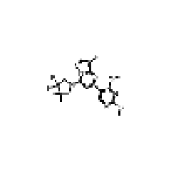 COc1ncc(-c2cc(N3CC(C)(C)C(F)(F)C3)n3ncc(F)c3n2)c(OC)n1